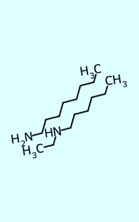 CCCCCCCCN.CCCCCCNCC